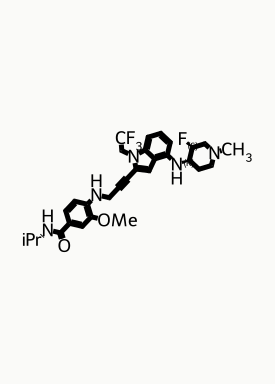 COc1cc(C(=O)NC(C)C)ccc1NCC#Cc1cc2c(N[C@@H]3CCN(C)C[C@@H]3F)cccc2n1CC(F)(F)F